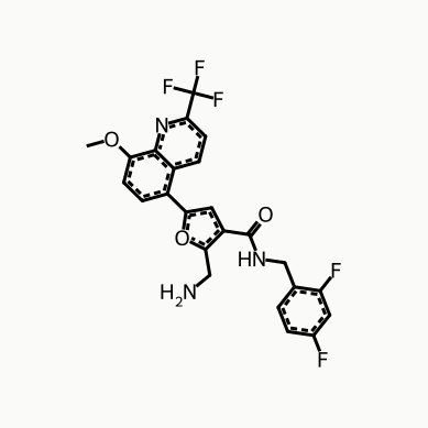 COc1ccc(-c2cc(C(=O)NCc3ccc(F)cc3F)c(CN)o2)c2ccc(C(F)(F)F)nc12